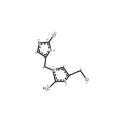 Cc1sc(CCl)c[n+]1Cc1cnc(Cl)s1